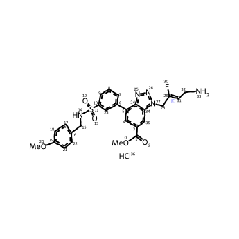 COC(=O)c1cc(-c2cccc(S(=O)(=O)NCc3ccc(OC)cc3)c2)c2nnn(C/C(F)=C/CN)c2c1.Cl